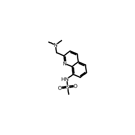 CN(C)Cc1ccc2cccc(NS(C)(=O)=O)c2n1